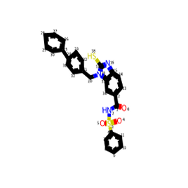 O=C(NS(=O)(=O)c1ccccc1)c1ccc2nc(S)n(Cc3ccc(-c4ccccc4)cc3)c2c1